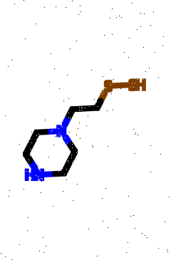 SSCCN1CCNCC1